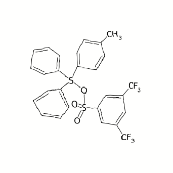 Cc1ccc(S(OS(=O)(=O)c2cc(C(F)(F)F)cc(C(F)(F)F)c2)(c2ccccc2)c2ccccc2)cc1